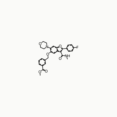 CNC(=O)c1c(-c2ccc(F)cc2)oc2cc(N3CCOCC3)c(OCc3cccc(C(=O)OC)c3)cc12